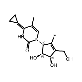 CC1=CN([C@@H]2C(F)=C(CO)[C@@H](O)[C@H]2O)C(=O)NC1=C1CC1